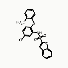 O=C(O)c1ccccc1Sc1ccc(Cl)cc1NS(=O)(=O)c1cc2ccccc2o1